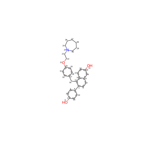 Oc1ccc(-c2ccc3cc(O)ccc3c2Cc2ccc(OCCN3CCCCCC3)cc2)cc1